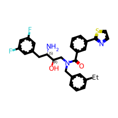 CCc1cccc(CN(C[C@@H](O)[C@@H](N)Cc2cc(F)cc(F)c2)C(=O)c2cccc(-c3nccs3)c2)c1